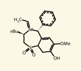 C/C=[N+]1\[C@H](CCCC)CS(=O)(=O)C2CC(O)=C(OC)C=C2[C@H]1c1ccccc1